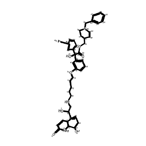 O=C1C=CC2C(C(O)CNCCCCCOc3cccc(C(O)(C(=O)OCC4CCN(Cc5ccccc5)CC4)c4cccc(F)c4)c3)=CC=C(O)C2N1